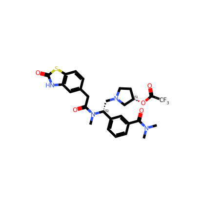 CN(C)C(=O)c1cccc([C@@H](CN2CC[C@H](OC(=O)C(F)(F)F)C2)N(C)C(=O)Cc2ccc3sc(=O)[nH]c3c2)c1